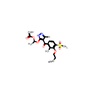 CCc1n[nH]c(OC(C)OC(=O)OC)c1C(=O)c1ccc(S(C)(=O)=O)c(OCCOC)c1C